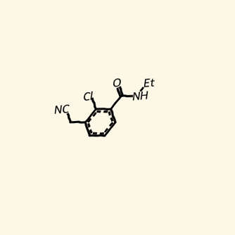 CCNC(=O)c1cccc(CC#N)c1Cl